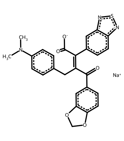 CN(C)c1ccc(CC(C(=O)c2ccc3c(c2)OCO3)=C(C(=O)[O-])c2ccc3nsnc3c2)cc1.[Na+]